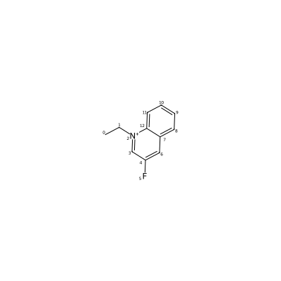 CC[n+]1cc(F)cc2ccccc21